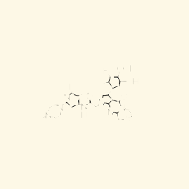 CN1CCN(c2cc(NC(=O)Cn3cc(-c4cc(C=O)c(O)c(F)c4F)c4c(=O)n5c(nc43)COCC5)c(Cl)c(F)n2)CC1